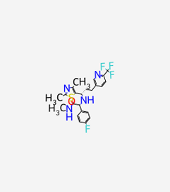 CNC(=O)[C@H](N[C@@H](CCc1ccc(C(F)(F)F)nc1)c1sc(C)nc1C)c1ccc(F)cc1